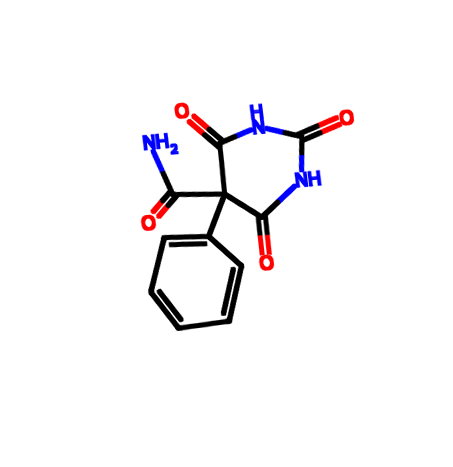 NC(=O)C1(c2ccccc2)C(=O)NC(=O)NC1=O